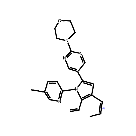 C=Cc1c(/C=C\C)cc(-c2cnc(N3CCOCC3)nc2)n1-c1ccc(C)cn1